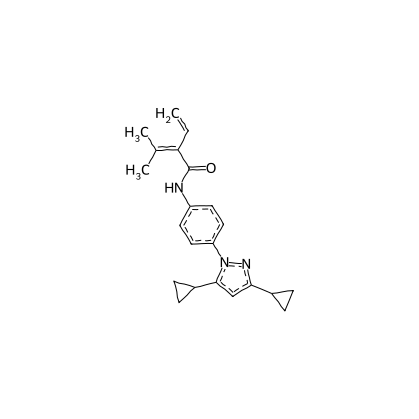 C=CC(C(=O)Nc1ccc(-n2nc(C3CC3)cc2C2CC2)cc1)=C(C)C